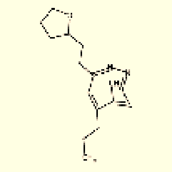 CCCC1=C/C(CCC2CCCO2)=N\N=C\C=C\1C